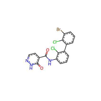 O=C(Nc1cccc(-c2cccc(Br)c2Cl)c1Cl)c1ccn[nH]c1=O